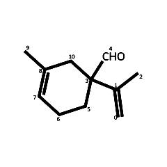 C=C(C)C1(C=O)CCC=C(C)C1